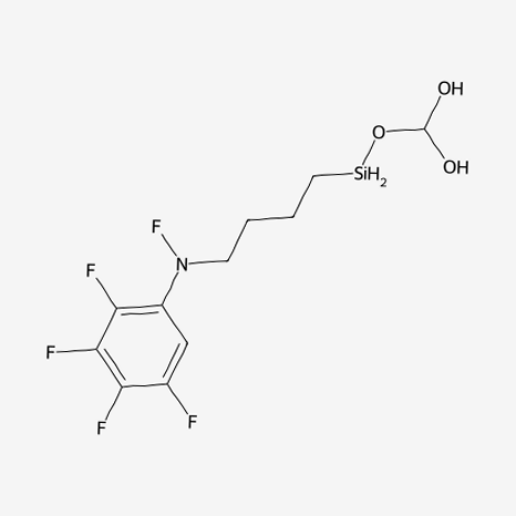 OC(O)O[SiH2]CCCCN(F)c1cc(F)c(F)c(F)c1F